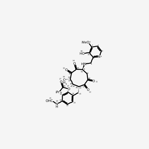 COc1ccnc(CN[C@H]2CC(=O)C(=O)[C@H](Cc3ccc(NC=O)cc3)[C@H](OC(=O)C(C)C)[C@H](C)C(=O)C2=O)c1O